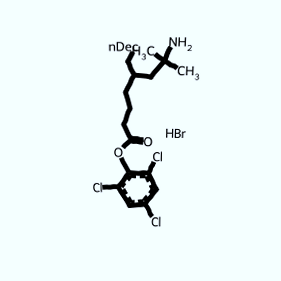 Br.CCCCCCCCCCCC(CCCC(=O)Oc1c(Cl)cc(Cl)cc1Cl)CC(C)(C)N